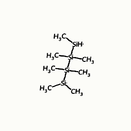 C[SiH][Si](C)(C)[Si](C)(C)[Si](C)C